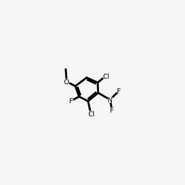 COc1cc(Cl)c(N(F)F)c(Cl)c1F